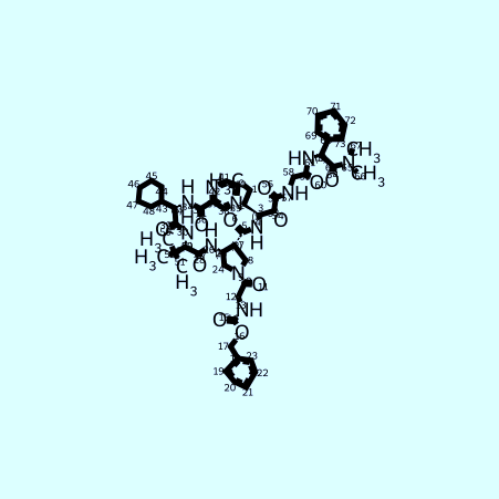 CCC[C@H](NC(=O)[C@@H]1CN(C(=O)CNC(=O)OCc2ccccc2)C[C@@H]1NC(=O)[C@@H](NC(=O)[C@@H](NC(=O)c1cnccn1)C1CCCCC1)C(C)(C)C)C(=O)C(=O)NCC(=O)N[C@H](C(=O)N(C)C)c1ccccc1